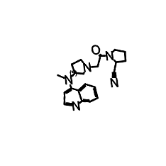 CN(c1ccnc2ccccc12)[C@H]1CCN(CC(=O)N2CCCC2C#N)C1